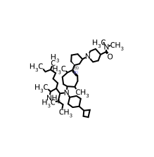 CCC(C)CCCC(C(C)N)C(C(C)CC)N(C1CCC(C2CCC2)CC1)C1CCC(C)/C([C@H]2CCCC(N3CCC(C(=O)N(C)C)CC3)C2)=C\CC1C